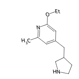 CCOc1cc(CC2CCNC2)cc(C)n1